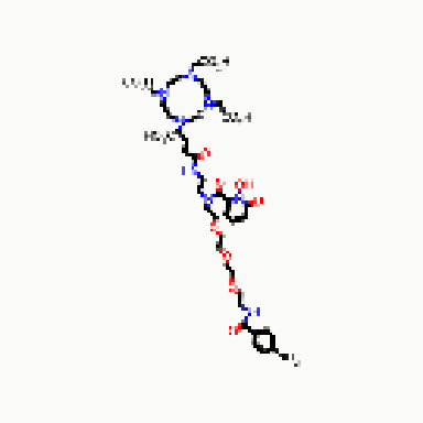 O=C(O)CN1CCN(CC(=O)O)CCN(C(CCC(=O)NCCN(CCOCCOCCOCCNC(=O)c2ccc([N+](=O)[O-])cc2)C(=O)c2cccc(=O)n2O)C(=O)O)CCN(CC(=O)O)CC1